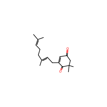 CC(C)=CCC/C(C)=C/CC1=CC(=O)CC(C)(C)C1=O